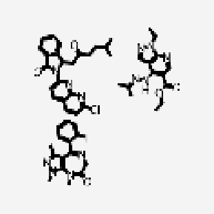 CC(C)CCC(=O)CC1c2ccccc2C(=O)N1c1ccc2ccc(Cl)nc2n1.CCOC(=O)c1cnc2c(cnn2CC)c1NN=C(C)C.Cc1nn(C)c2c1C(c1ccccc1F)=NCC(=O)N2C